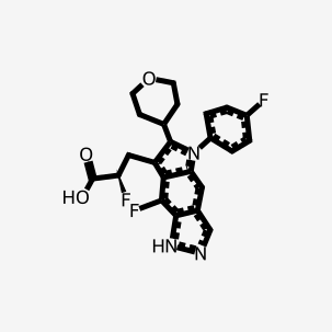 O=C(O)[C@H](F)Cc1c(C2CCOCC2)n(-c2ccc(F)cc2)c2cc3cn[nH]c3c(F)c12